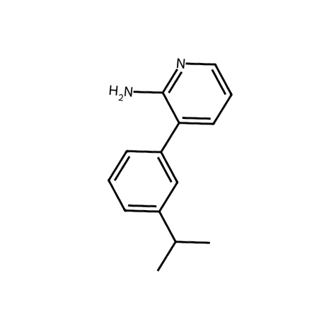 CC(C)c1cccc(-c2cccnc2N)c1